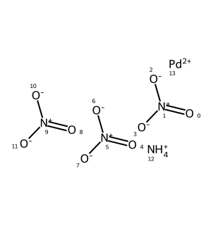 O=[N+]([O-])[O-].O=[N+]([O-])[O-].O=[N+]([O-])[O-].[NH4+].[Pd+2]